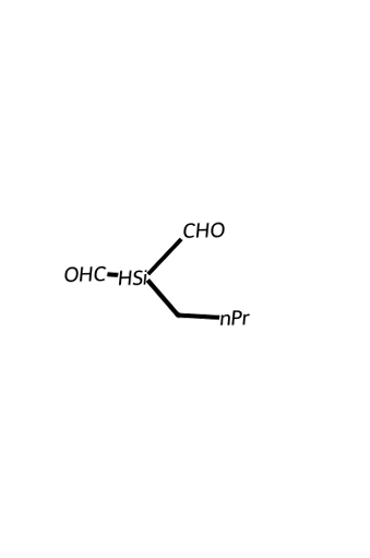 CCCC[SiH](C=O)C=O